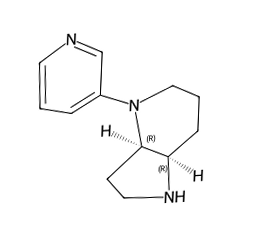 c1cncc(N2CCC[C@H]3NCC[C@H]32)c1